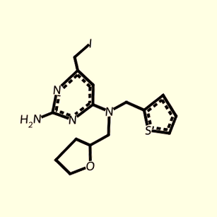 Nc1nc(CI)cc(N(Cc2cccs2)CC2CCCO2)n1